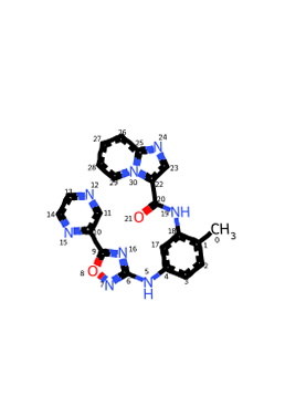 Cc1ccc(Nc2noc(-c3cnccn3)n2)cc1NC(=O)c1cnc2ccccn12